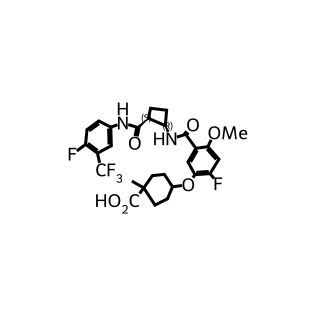 COc1cc(F)c(OC2CCC(C)(C(=O)O)CC2)cc1C(=O)N[C@@H]1CC[C@@H]1C(=O)Nc1ccc(F)c(C(F)(F)F)c1